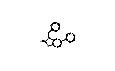 O=C1[N]c2ncc(-c3cccnc3)nc2N1Cc1ccccc1